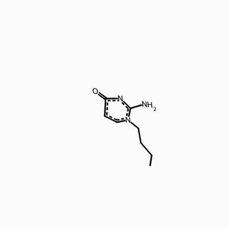 CCCCn1ccc(=O)nc1N